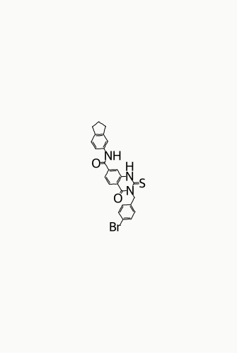 O=C(Nc1ccc2c(c1)CCC2)c1ccc2c(=O)n(Cc3ccc(Br)cc3)c(=S)[nH]c2c1